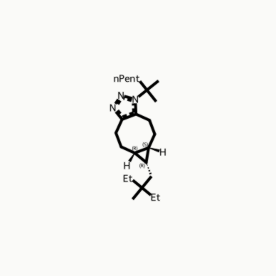 CCCCCC(C)(C)n1nnc2c1CC[C@H]1[C@@H](CC2)[C@H]1CC(C)(CC)CC